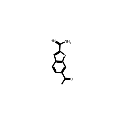 CC(=O)c1ccc2cc(C(=N)N)sc2c1